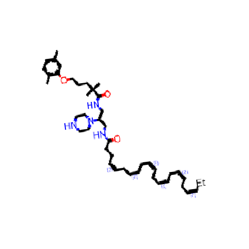 CC/C=C\C/C=C\C/C=C\C/C=C\C/C=C\C/C=C\CCC(=O)NCC(CNC(=O)C(C)(C)CCCOc1cc(C)ccc1C)N1CCNCC1